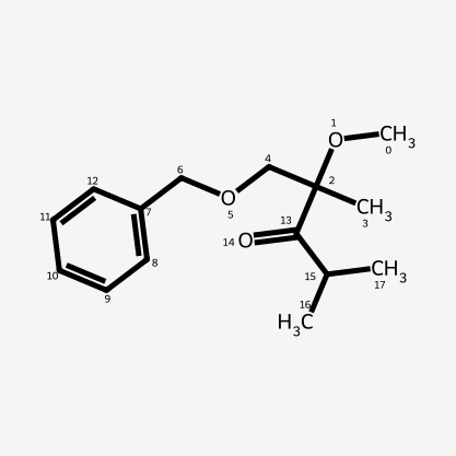 COC(C)(COCc1ccccc1)C(=O)C(C)C